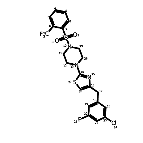 O=S(=O)(c1ccccc1C(F)(F)F)N1CCN(c2nc(Cc3cc(F)cc(Cl)c3)cs2)CC1